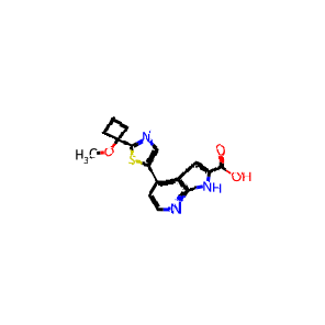 COC1(c2ncc(-c3ccnc4[nH]c(C(=O)O)cc34)s2)CCC1